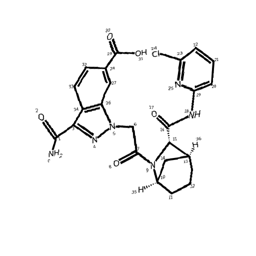 NC(=O)c1nn(CC(=O)N2[C@@H]3CC[C@@H](C3)[C@H]2C(=O)Nc2cccc(Cl)n2)c2cc(C(=O)O)ccc12